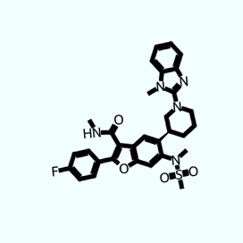 CNC(=O)c1c(-c2ccc(F)cc2)oc2cc(N(C)S(C)(=O)=O)c([C@@H]3CCCN(c4nc5ccccc5n4C)C3)cc12